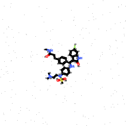 CNC(=O)CCc1ccc(/C(Nc2ccc(N(CCN(C)C)S(C)(=O)=O)cc2)=C2/C(=O)Nc3cc(F)ccc32)cc1